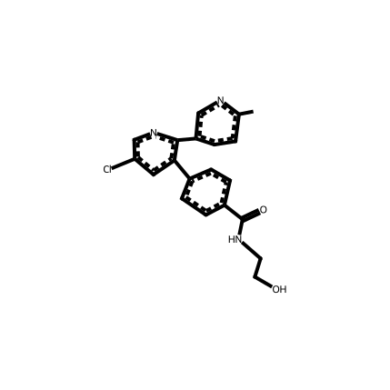 Cc1ccc(-c2ncc(Cl)cc2-c2ccc(C(=O)NCCO)cc2)cn1